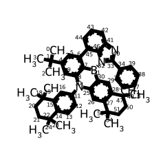 CC(C)(C)c1cc2c3c(c1)N(c1ccc4c(c1)C(C)(C)CCC4(C)C)c1cc4c(cc1B3n1c(-c3ccccc3)nc3cccc-2c31)C(C)(C)CCC4(C)C